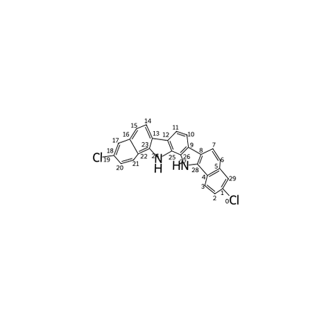 Clc1ccc2c(ccc3c4ccc5c6ccc7cc(Cl)ccc7c6[nH]c5c4[nH]c23)c1